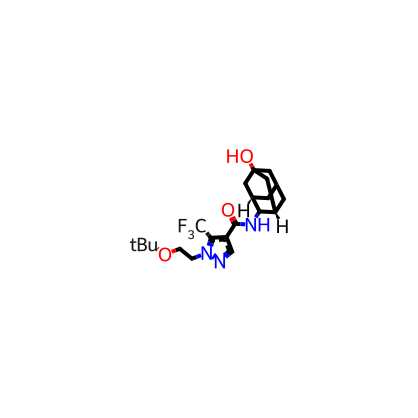 CC(C)(C)OCCn1ncc(C(=O)NC2[C@@H]3CC4C[C@H]2CC(O)(C4)C3)c1C(F)(F)F